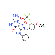 COc1ccc(CN2C(Nc3ccccc3)c3c(nc(CN)[nH]c3=O)N2OC(=O)C(F)(F)F)cc1